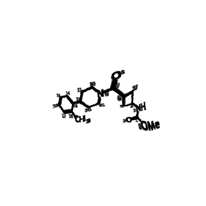 COC(=O)NC1CC(C(=O)N2CCC(c3ccccc3C)CC2)C1